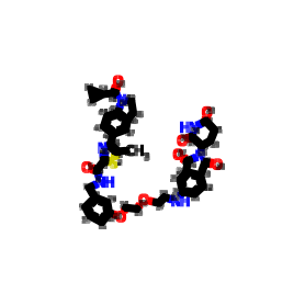 Cc1sc(C(=O)NCc2cccc(OCCOCCNc3ccc4c(c3)C(=O)N(C3CCC(=O)NC3=O)C4=O)c2)nc1-c1ccc2c(c1)CCN2C(=O)C1CC1